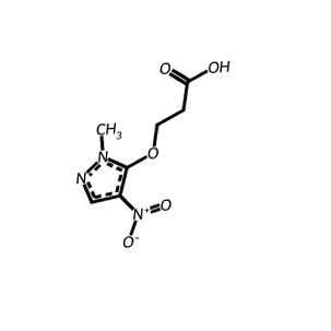 Cn1ncc([N+](=O)[O-])c1OCCC(=O)O